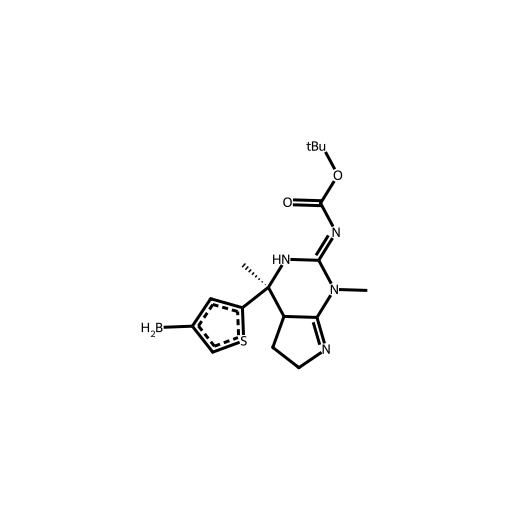 Bc1csc([C@@]2(C)N/C(=N\C(=O)OC(C)(C)C)N(C)C3=NCCC32)c1